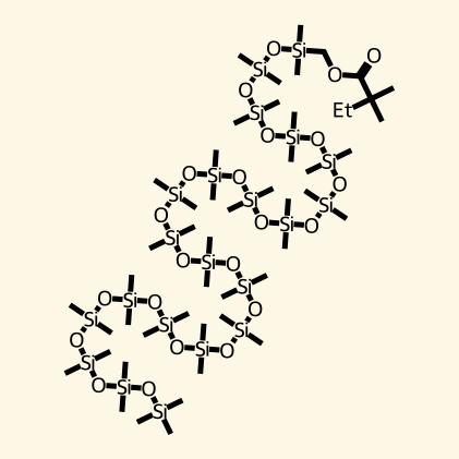 CCC(C)(C)C(=O)OC[Si](C)(C)O[Si](C)(C)O[Si](C)(C)O[Si](C)(C)O[Si](C)(C)O[Si](C)(C)O[Si](C)(C)O[Si](C)(C)O[Si](C)(C)O[Si](C)(C)O[Si](C)(C)O[Si](C)(C)O[Si](C)(C)O[Si](C)(C)O[Si](C)(C)O[Si](C)(C)O[Si](C)(C)O[Si](C)(C)O[Si](C)(C)O[Si](C)(C)O[Si](C)(C)C